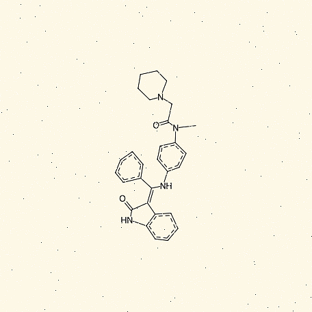 CN(C(=O)CN1CCCCC1)c1ccc(NC(=C2C(=O)Nc3ccccc32)c2ccccc2)cc1